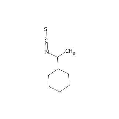 CC(N=C=S)C1CCCCC1